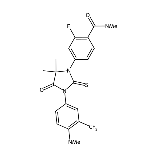 CNC(=O)c1ccc(N2C(=S)N(c3ccc(NC)c(C(F)(F)F)c3)C(=O)C2(C)C)cc1F